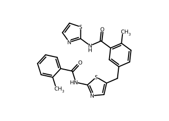 Cc1ccc(Cc2cnc(NC(=O)c3ccccc3C)s2)cc1C(=O)Nc1nccs1